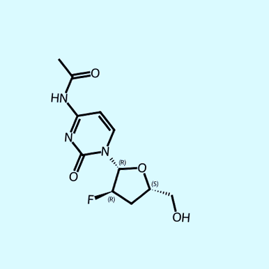 CC(=O)Nc1ccn([C@@H]2O[C@H](CO)C[C@H]2F)c(=O)n1